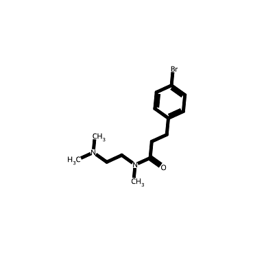 CN(C)CCN(C)C(=O)CCc1ccc(Br)cc1